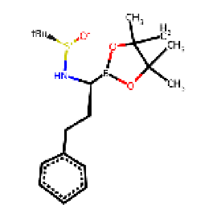 CC(C)(C)[S@@+]([O-])N[C@H](CCc1ccccc1)B1OC(C)(C)C(C)(C)O1